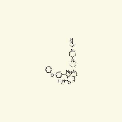 NC(=O)c1c(-c2ccc(Oc3ccccc3)cc2)nn2c1NCC[C@H]2C1CCN(C2CCN(C3CNC3)CC2)CC1